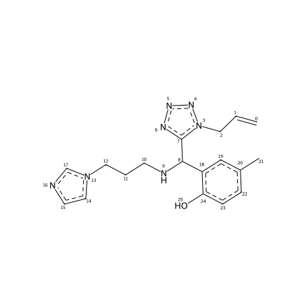 C=CCn1nnnc1C(NCCCn1ccnc1)c1cc(C)ccc1O